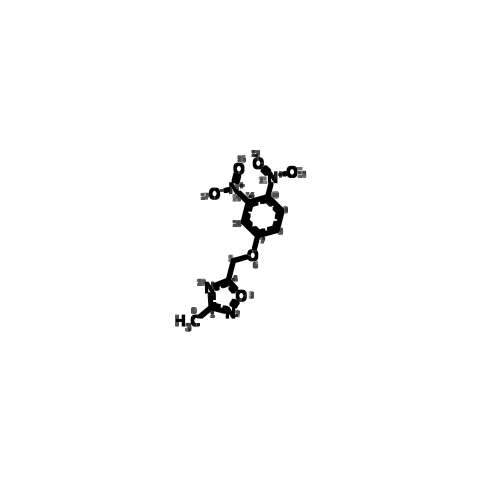 Cc1noc(COc2ccc([N+](=O)[O-])c([N+](=O)[O-])c2)n1